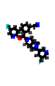 N#Cc1ccc(-c2cncc(F)c2)c(C(=O)N2Cc3cn(-c4cncc(F)c4)nc3C2)c1